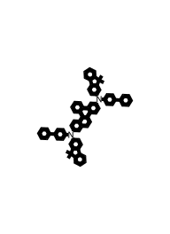 CC1(C)c2ccccc2-c2ccc(N(c3ccc(-c4ccccc4)cc3)c3ccc4c(ccc5c6ccc(N(c7ccc(-c8ccccc8)cc7)c7ccc8c(c7)C(C)(C)c7ccccc7-8)cc6c6ccccc6c45)c3)cc21